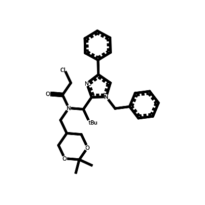 CC1(C)OCC(CN(C(=O)CCl)C(c2nc(-c3ccccc3)cn2Cc2ccccc2)C(C)(C)C)CO1